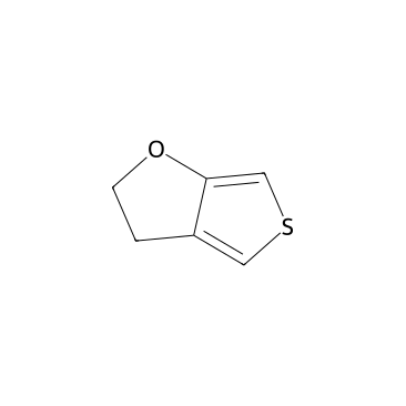 c1scc2c1CCO2